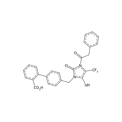 CCCc1c(C(F)(F)F)n(C(=O)Cc2ccccc2)c(=O)n1Cc1ccc(-c2ccccc2C(=O)O)cc1